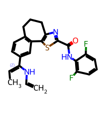 C=CN/C(=C\C)c1ccc2c(c1)-c1sc(C(=O)Nc3c(F)cccc3F)nc1CCC2